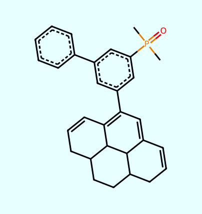 CP(C)(=O)c1cc(C2=C3C=CCC4CCC5CC=CC(=C2)C5C34)cc(-c2ccccc2)c1